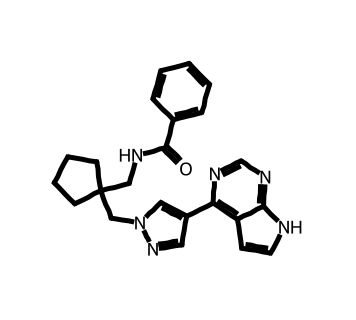 O=C(NCC1(Cn2cc(-c3ncnc4[nH]ccc34)cn2)CCCC1)c1ccccc1